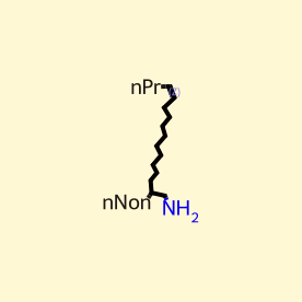 CCC/C=C\CCCCCCCCCC(CN)CCCCCCCCC